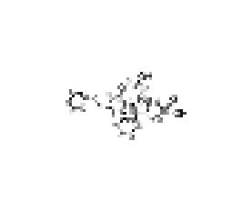 Cc1cc(OCc2ccccn2)cc2c1-c1c(C3CCCCC3)c3ccc(C(=O)O)cc3n1C[C@H](O)CO2